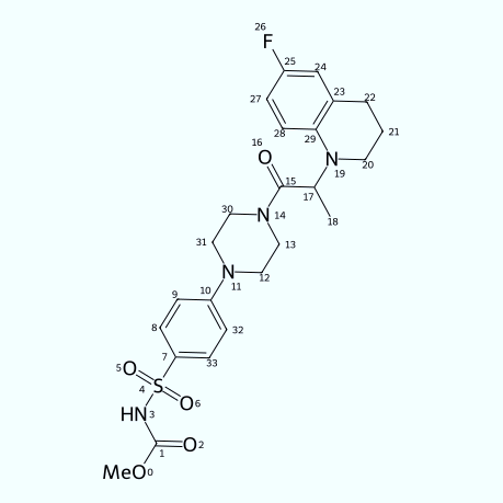 COC(=O)NS(=O)(=O)c1ccc(N2CCN(C(=O)C(C)N3CCCc4cc(F)ccc43)CC2)cc1